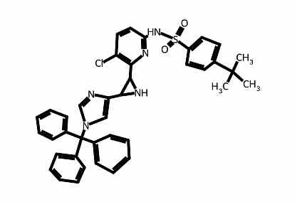 CC(C)(C)c1ccc(S(=O)(=O)Nc2ccc(Cl)c(C3NC3c3cn(C(c4ccccc4)(c4ccccc4)c4ccccc4)cn3)n2)cc1